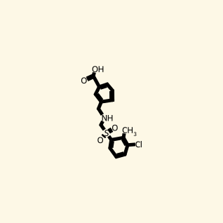 Cc1c(Cl)cccc1S(=O)(=O)CNCc1cccc(C(=O)O)c1